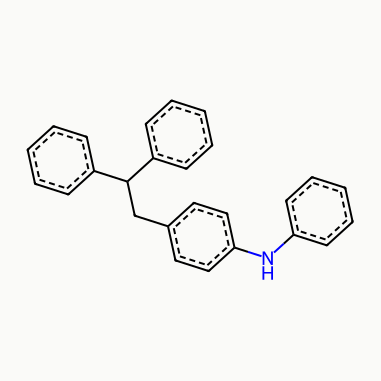 c1ccc(Nc2ccc(CC(c3ccccc3)c3ccccc3)cc2)cc1